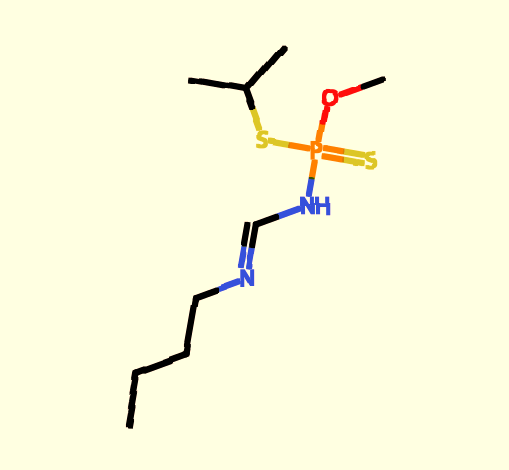 CCCCN=CNP(=S)(OC)SC(C)C